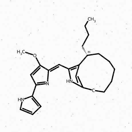 CCCC[C@@H]1CCCCCCc2cc1c(C=C1N=C(c3ccc[nH]3)C=C1OC)[nH]2